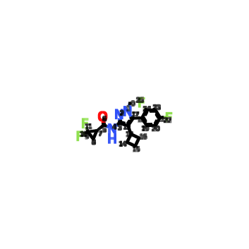 Cn1nc(NC(=O)[C@H]2CC2(F)F)c(C2CCC2)c1-c1ccc(F)cc1F